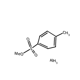 COS(=O)(=O)c1ccc(C)cc1.[AlH3]